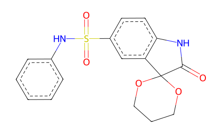 O=C1Nc2ccc(S(=O)(=O)Nc3ccccc3)cc2C12OCCCO2